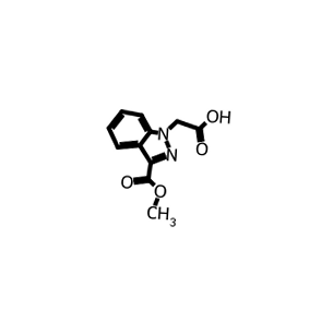 COC(=O)c1nn(CC(=O)O)c2ccccc12